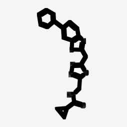 O=C(NCc1nnc(Cc2nc3ccc(-c4ccccc4)cc3s2)o1)C1CC1